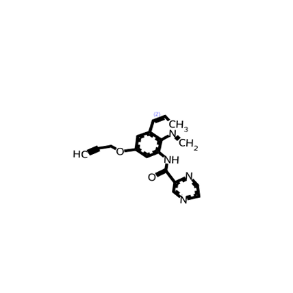 C#CCOc1cc(/C=C\C)c(N=C)c(NC(=O)c2cnccn2)c1